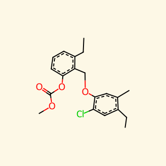 CCc1cc(Cl)c(OCc2c(CC)cccc2OC(=O)OC)cc1C